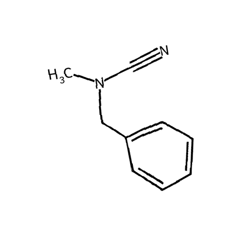 CN(C#N)Cc1ccccc1